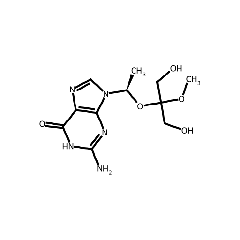 COC(CO)(CO)O[C@H](C)n1cnc2c(=O)[nH]c(N)nc21